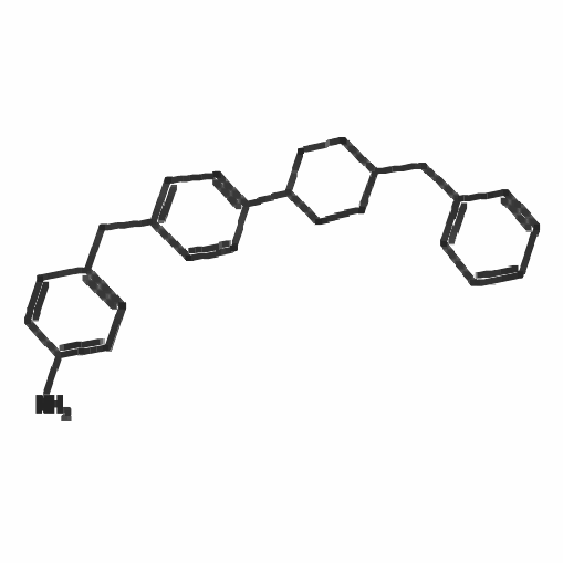 Nc1ccc(Cc2ccc(C3CCC(Cc4ccccc4)CC3)cc2)cc1